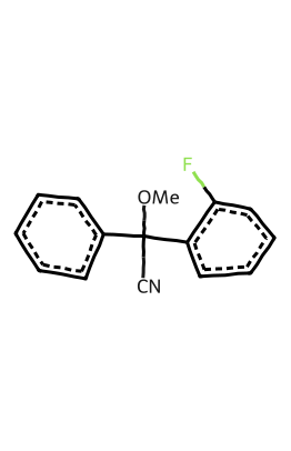 COC(C#N)(c1ccccc1)c1ccccc1F